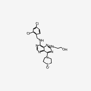 [O-][S+]1CCN(c2nc(NCCO)nc3c(NCc4ccc(Cl)cc4Cl)ncnc23)CC1